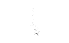 CCCCCCCCCCCCOc1ccc(C(=O)OC2CC(C)(C)N(C)C(C)(C)C2)cc1C